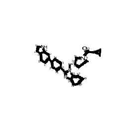 O=C(C1CC1)N1CC[C@H](Cn2c(-c3ccc(-c4ccc5cc[nH]c5c4)cc3)nc3ccccc32)C1